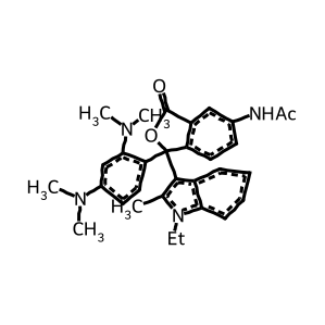 CCn1c(C)c(C2(c3ccc(N(C)C)cc3N(C)C)OC(=O)c3cc(NC(C)=O)ccc32)c2ccccc21